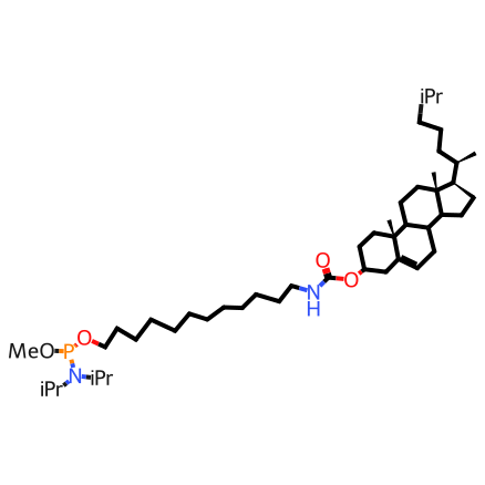 COP(OCCCCCCCCCCCCNC(=O)OC1CC[C@@]2(C)C(=CCC3C2CC[C@@]2(C)C3CC[C@@H]2[C@H](C)CCCC(C)C)C1)N(C(C)C)C(C)C